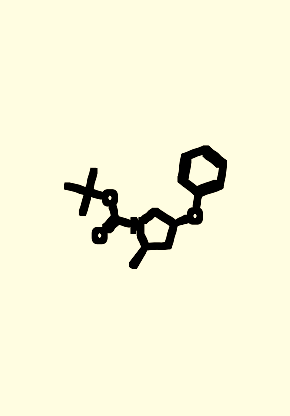 C[C@@H]1C[C@H](Oc2ccccc2)CN1C(=O)OC(C)(C)C